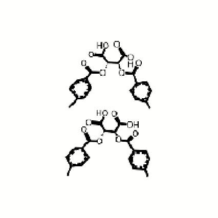 Cc1ccc(C(=O)O[C@H](C(=O)O)[C@H](OC(=O)c2ccc(C)cc2)C(=O)O)cc1.Cc1ccc(C(=O)O[C@H](C(=O)O)[C@H](OC(=O)c2ccc(C)cc2)C(=O)O)cc1